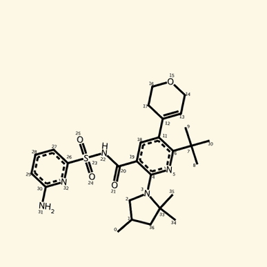 CC1CN(c2nc(C(C)(C)C)c(C3=CCOCC3)cc2C(=O)NS(=O)(=O)c2cccc(N)n2)C(C)(C)C1